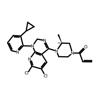 C=CC(=O)N1CCN(C2=NCN(c3ncccc3C3CC3)c3nc(Cl)c(Cl)cc32)[C@@H](C)C1